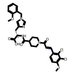 COc1ccccc1Cn1cnc(C[C@H](NC(=O)C2CCN(C(=O)/C=C/c3ccc(SC)c(Cl)c3Cl)CC2)C(=O)O)c1